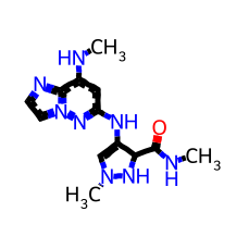 CNC(=O)C1NN(C)C=C1Nc1cc(NC)c2nccn2n1